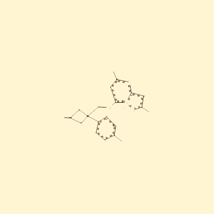 OC1CC(CNc2cc(C(F)(F)F)nc3cc(C(F)(F)F)nn23)(c2ccc(F)cc2)C1